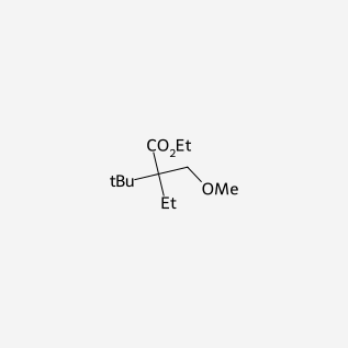 CCOC(=O)C(CC)(COC)C(C)(C)C